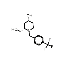 OC[C@@H]1C[C@H](O)CCN1Cc1ccc(C(F)(F)F)cc1